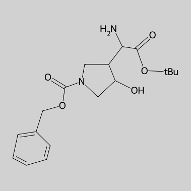 CC(C)(C)OC(=O)C(N)C1CN(C(=O)OCc2ccccc2)CC1O